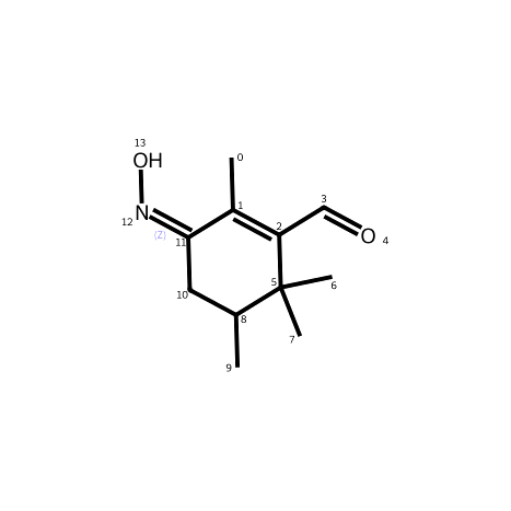 CC1=C(C=O)C(C)(C)C(C)C/C1=N/O